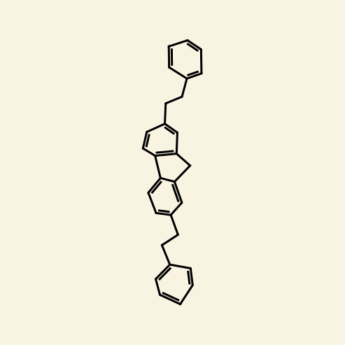 c1ccc(CCc2ccc3c(c2)Cc2cc(CCc4ccccc4)ccc2-3)cc1